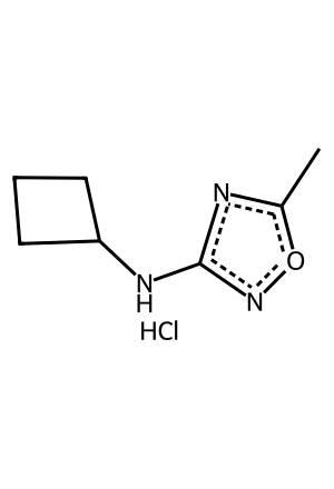 Cc1nc(NC2CCC2)no1.Cl